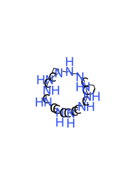 C1=CCC2CN(CC1)CCNCCNCCN1CCCC1CNCCNCCNCCCNCCNCCNCCN2